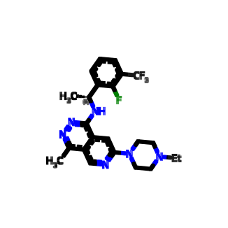 CCN1CCN(c2cc3c(N[C@H](C)c4cccc(C(F)(F)F)c4F)nnc(C)c3cn2)CC1